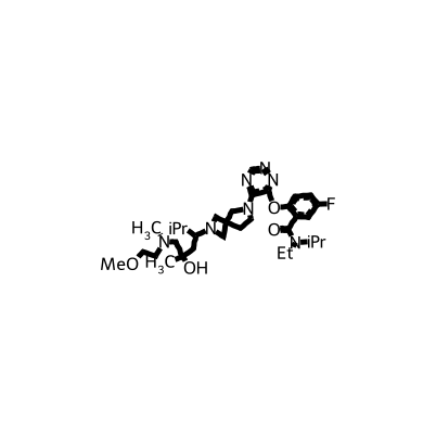 CCN(C(=O)c1cc(F)ccc1Oc1nncnc1N1CCC2(C1)CN(C(CC(C)(O)CN(C)CCOC)C(C)C)C2)C(C)C